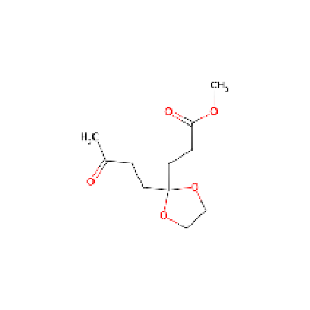 COC(=O)CCC1(CCC(C)=O)OCCO1